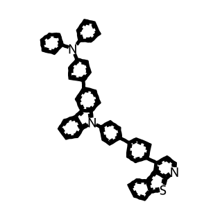 c1ccc(N(c2ccccc2)c2ccc(-c3ccc4c(c3)c3ccccc3n4-c3ccc(-c4ccc(-c5ccnc6sc7ccccc7c56)cc4)cc3)cc2)cc1